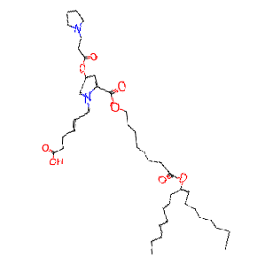 CCCCCCCCC(CCCCCCCC)OC(=O)CCCCCCCOC(=O)C1CC(OC(=O)CCN2CCCC2)CN1CCCCCC(=O)O